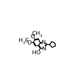 COc1cc2nc(C3CCCC3)nc(O)c2cc1OC